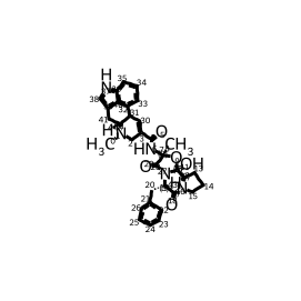 CN1CC(C(=O)N[C@]2(C)O[C@@]3(O)[C@@H]4CCCN4C(=O)[C@H](Cc4ccccc4)N3C2=O)=CC2c3cccc4[nH]cc(c34)C[C@H]21